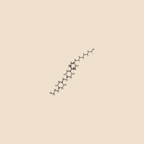 CCCCCCCCCc1cnc(C2CCC(CCC3CCC(CCCC)CC3)CC2)nc1